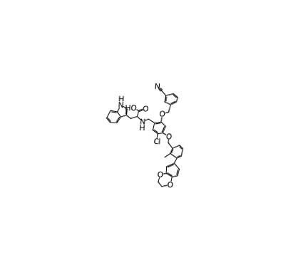 Cc1c(COc2cc(OCc3cccc(C#N)c3)c(CNC(Cc3c[nH]c4ccccc34)C(=O)O)cc2Cl)cccc1-c1ccc2c(c1)OCCO2